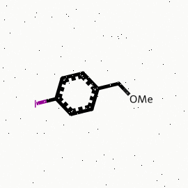 [CH2]OCc1ccc(I)cc1